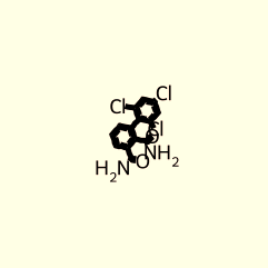 NC(=O)c1cccc(-c2c(Cl)cc(Cl)cc2Cl)c1C(N)=O